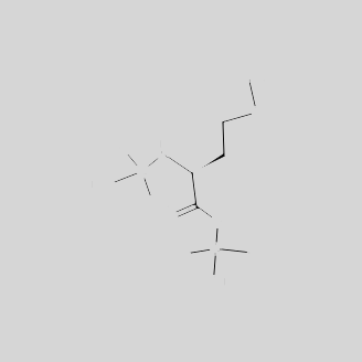 CSCC[C@H](N[Si](C)(C)C)C(=O)O[Si](C)(C)C